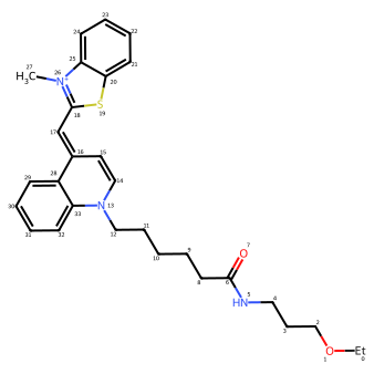 CCOCCCNC(=O)CCCCCN1C=CC(=Cc2sc3ccccc3[n+]2C)c2ccccc21